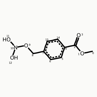 COC(=O)c1ccc(CON(O)O)cc1